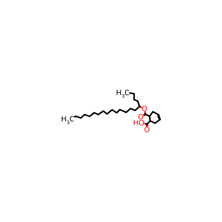 CCCCCCCCCCCCCCCC(CCCC)OC(=O)C1CC=CCC1C(=O)O